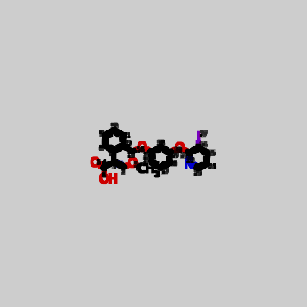 CO/C=C(/C(=O)O)c1ccccc1COc1cccc(Oc2ncccc2I)c1